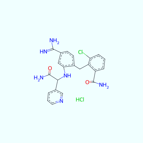 Cl.N=C(N)c1ccc(Cc2c(Cl)cccc2C(N)=O)c(NC(C(N)=O)c2cccnc2)c1